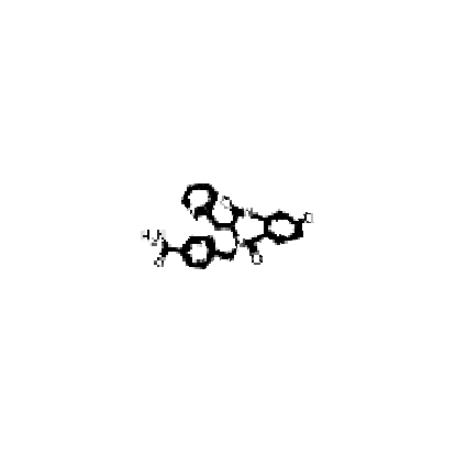 NC(=O)c1ccc(CN2C(=O)c3ccc(Cl)cc3NC(=O)C2Cc2ccccn2)cc1